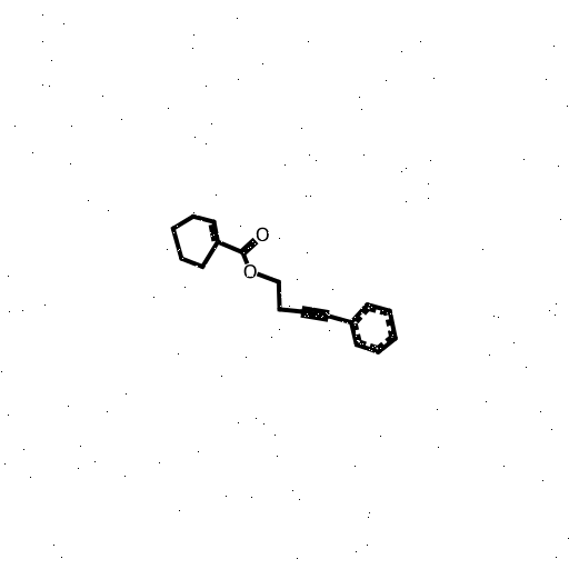 O=C(OCCC#Cc1ccccc1)C1=CCCCC1